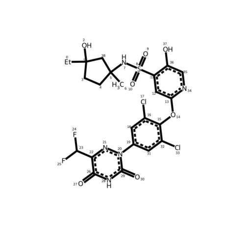 CCC1(O)CCC(C)(NS(=O)(=O)c2cc(Oc3c(Cl)cc(-n4nc(C(F)F)c(=O)[nH]c4=O)cc3Cl)ncc2O)C1